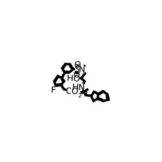 CN(CC(O)CNC(C)(C)CC1Cc2ccccc2C1)S(=O)(=O)c1cccc(-c2ccc(F)c(CC(=O)O)c2)c1